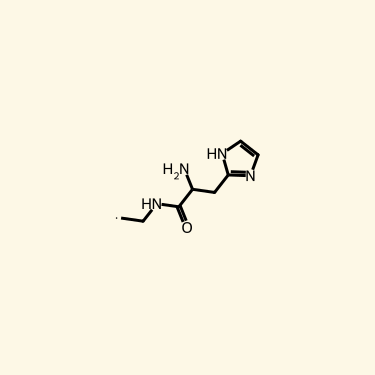 [CH2]CNC(=O)C(N)Cc1ncc[nH]1